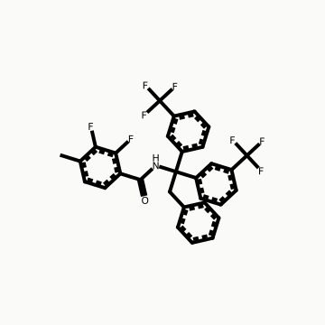 Cc1ccc(C(=O)NC(Cc2ccccc2)(c2cccc(C(F)(F)F)c2)c2cccc(C(F)(F)F)c2)c(F)c1F